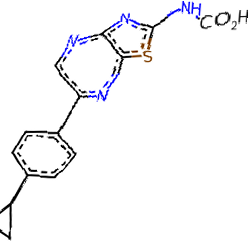 O=C(O)Nc1nc2ncc(-c3ccc(C4CC4)cc3)nc2s1